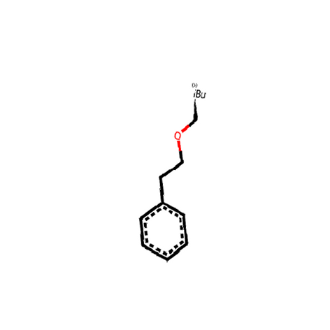 CC[C@H](C)COCCc1cc[c]cc1